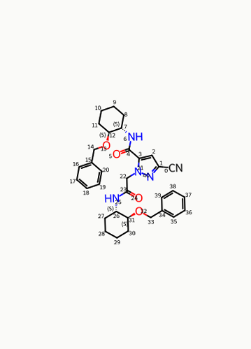 N#Cc1cc(C(=O)N[C@H]2CCCC[C@@H]2OCc2ccccc2)n(CC(=O)N[C@H]2CCCC[C@@H]2OCc2ccccc2)n1